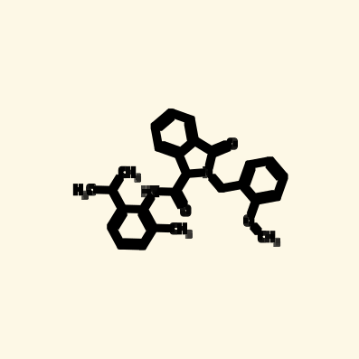 COc1ccccc1CN1C(=O)c2ccccc2C1C(=O)Nc1c(C)cccc1C(C)C